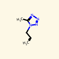 C=C[CH]n1nnnc1C